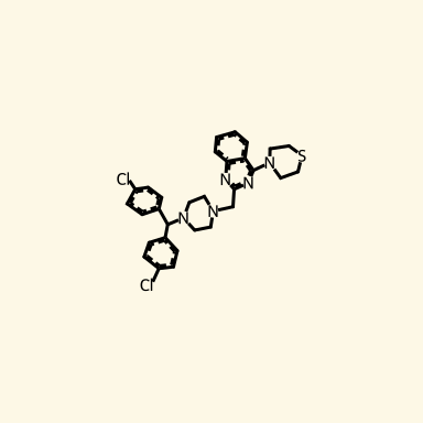 Clc1ccc(C(c2ccc(Cl)cc2)N2CCN(Cc3nc(N4CCSCC4)c4ccccc4n3)CC2)cc1